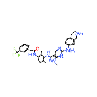 Cc1ccc(NC(=O)c2cccc(C(F)(F)F)c2)c(C)c1Nc1nn(C)c2nc(Nc3ccc4c(c3)CNCC4)ncc12